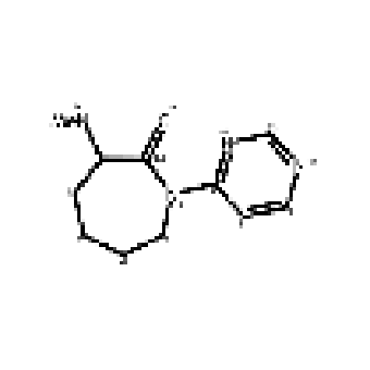 CNC1CCCCN(c2ccncn2)C1=O